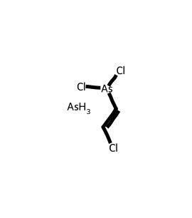 Cl/C=C/[As](Cl)Cl.[AsH3]